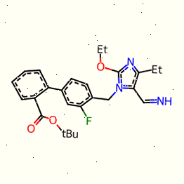 CCOc1nc(CC)c(C=N)n1Cc1ccc(-c2ccccc2C(=O)OC(C)(C)C)cc1F